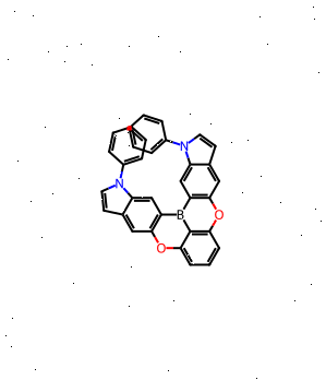 c1ccc(-n2ccc3cc4c(cc32)B2c3cc5c(ccn5-c5ccccc5)cc3Oc3cccc(c32)O4)cc1